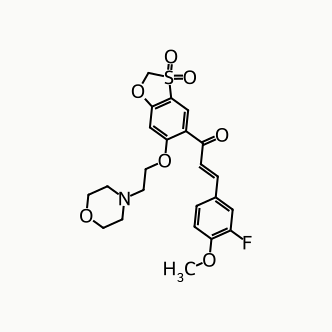 COc1ccc(C=CC(=O)c2cc3c(cc2OCCN2CCOCC2)OCS3(=O)=O)cc1F